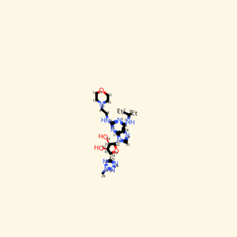 CCC(CC)Nc1nc(NCCN2CCOCC2)nc2c1ncn2[C@@H]1O[C@H](c2nnn(C)n2)[C@@H](O)[C@H]1O